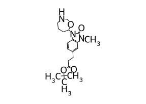 Cn1c(=O)n(C2CCCNCO2)c2ccc(CCC(=O)OC(C)(C)C)cc21